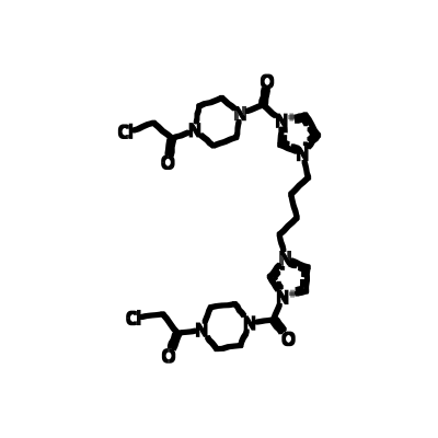 O=C(CCl)N1CCN(C(=O)[n+]2ccn(CCCCn3cc[n+](C(=O)N4CCN(C(=O)CCl)CC4)c3)c2)CC1